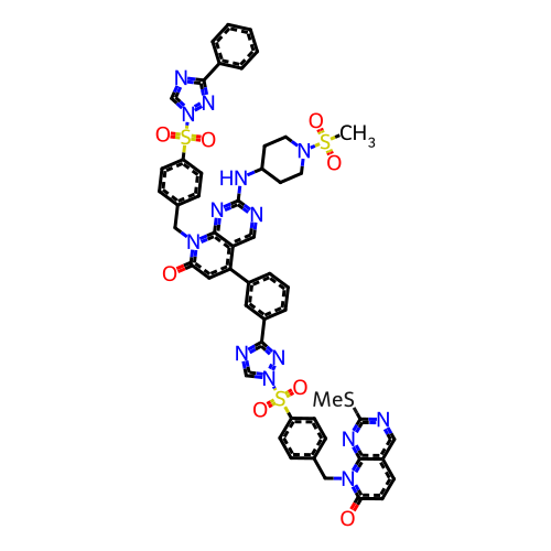 CSc1ncc2ccc(=O)n(Cc3ccc(S(=O)(=O)n4cnc(-c5cccc(-c6cc(=O)n(Cc7ccc(S(=O)(=O)n8cnc(-c9ccccc9)n8)cc7)c7nc(NC8CCN(S(C)(=O)=O)CC8)ncc67)c5)n4)cc3)c2n1